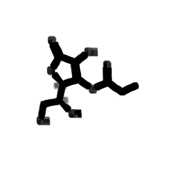 CCC(=O)OC1=C(O)C(=O)O[C@@H]1[C@@H](O)CO